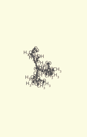 CC(=O)NC1C(ONC(=O)OCC(C)(COC(=O)NOC2OC(COC(C)=O)[C@H](OC(C)=O)C(OC(C)=O)C2NC(C)=O)C(=O)NCCCN(CCCNC(=O)C(C)(COC=O)COC=O)C(=O)[C@H](N)CO)OC(COC(C)=O)[C@H](OC(C)=O)C1OC(C)=O